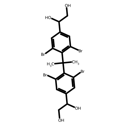 CC(C)(c1c(Br)cc(C(O)CO)cc1Br)c1c(Br)cc(C(O)CO)cc1Br